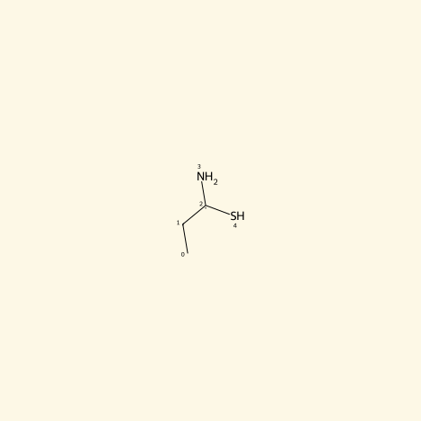 CC[C](N)S